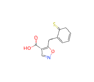 O=C(O)c1cnoc1CC1=CC=CCC1=S